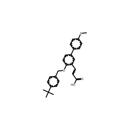 CSc1ccc(-c2ccc(OCc3ccc(C(C)(C)C)cc3)c(/C=C/C(=O)O)c2)cc1